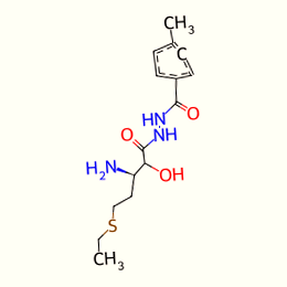 CCSCC[C@@H](N)C(O)C(=O)NNC(=O)c1ccc(C)cc1